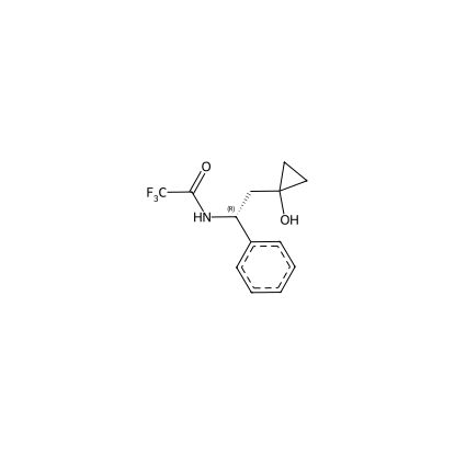 O=C(N[C@H](CC1(O)CC1)c1ccccc1)C(F)(F)F